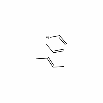 C=CC.C=CCC.CC=CC